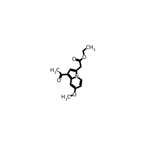 CCOC(=O)Cc1cc(C(C)=O)c2cc(OC)ccn12